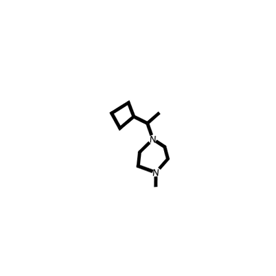 CC(C1CCC1)N1CCN(C)CC1